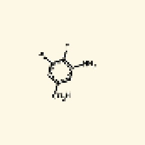 Nc1cc(C(=O)O)cc([S])c1F